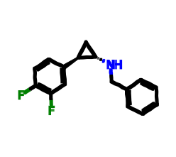 Fc1ccc([C@H]2C[C@@H]2NCc2ccccc2)cc1F